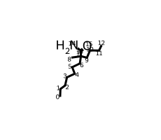 CCCCCCCC(C)(CCCC)C(N)=O